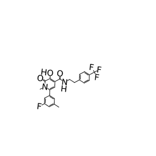 Cc1cc(F)cc(-c2cc(C(=O)NCCc3ccc(C(F)(F)F)cc3)c(O)c(=O)n2C)c1